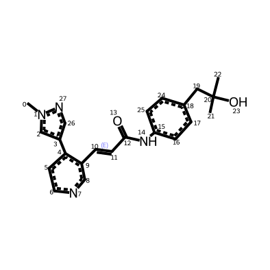 Cn1cc(-c2ccncc2/C=C/C(=O)Nc2ccc(CC(C)(C)O)cc2)cn1